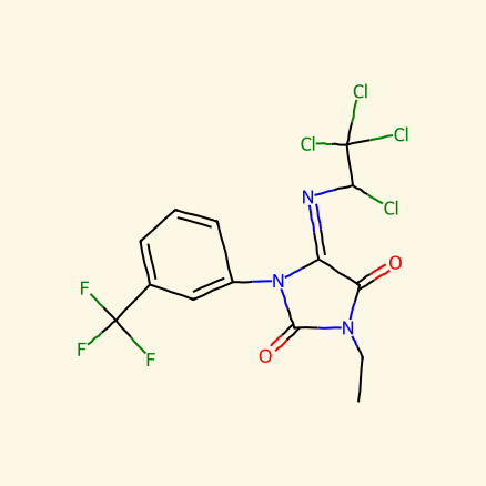 CCN1C(=O)C(=NC(Cl)C(Cl)(Cl)Cl)N(c2cccc(C(F)(F)F)c2)C1=O